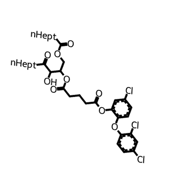 CCCCCCCC(=O)OCC(OC(=O)CCCC(=O)Oc1cc(Cl)ccc1Oc1ccc(Cl)cc1Cl)C(O)C(=O)CCCCCCC